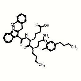 CCCCc1ccc(C[C@@H](CC(N)=O)N(CCCC)C(=O)[C@H](CCCC(=O)O)NC(=O)c2c(Cc3ccccc3Cl)[nH]c3ccccc23)cc1